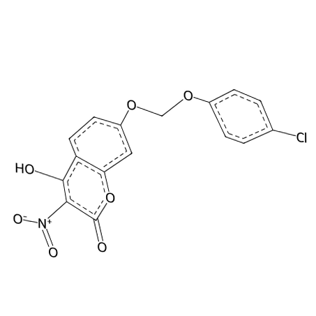 O=c1oc2cc(OCOc3ccc(Cl)cc3)ccc2c(O)c1[N+](=O)[O-]